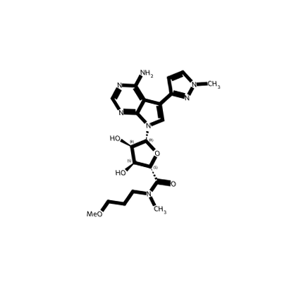 COCCCN(C)C(=O)[C@H]1O[C@@H](n2cc(-c3ccn(C)n3)c3c(N)ncnc32)[C@H](O)[C@@H]1O